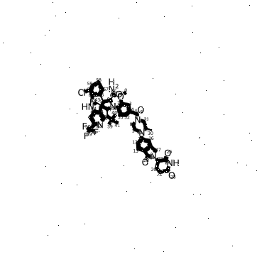 COc1cc(C(=O)N2CCN(c3ccc4c(c3)CN(C3CCC(=O)NC3=O)C4=O)[C@H](C)C2)ccc1N1[C@@H](CC(C)(C)C)[C@@]2(CNc3cc(C(F)(F)F)ncc32)[C@@H](c2cccc(Cl)c2F)[C@@H]1C(N)=O